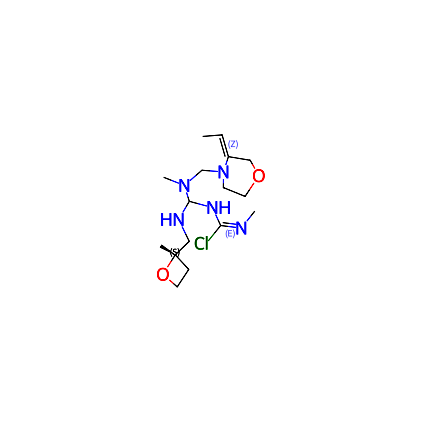 C/C=C1/COCCN1CN(C)C(NC[C@]1(C)CCO1)N/C(Cl)=N\C